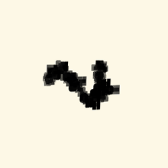 Cc1ncc(-c2ccc3nc(NC(=O)CCCCCOc4cncc(C(=O)N[C@H](C(=O)N5C[C@H](O)C[C@H]5C(=O)NCc5ccc(-c6scnc6C)cc5)C(C)(C)C)c4)sc3c2)cc1NC(=O)OC1CCCCC1